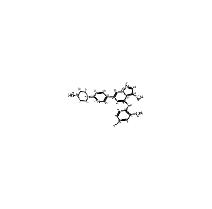 N#Cc1cc(F)ccc1Sc1cc(-c2ccc(N3CCC(O)CC3)nc2)cn2ncc(C#N)c12